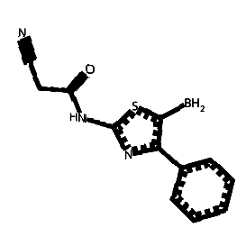 Bc1sc(NC(=O)CC#N)nc1-c1ccccc1